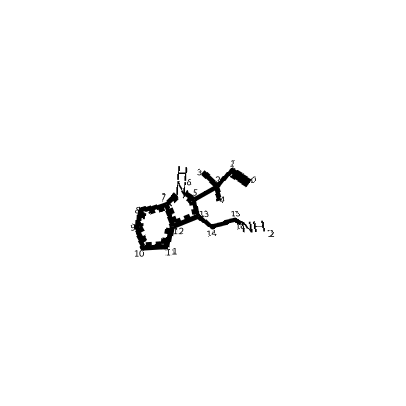 C=CC(C)(C)c1[nH]c2ccccc2c1CCN